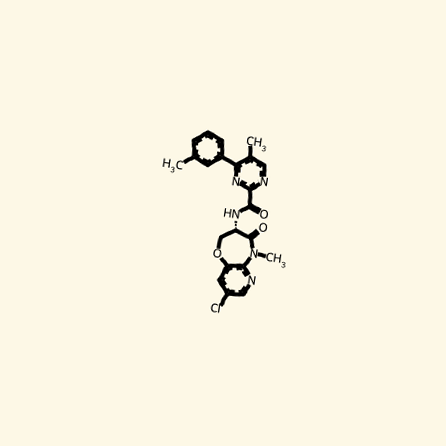 Cc1cccc(-c2nc(C(=O)N[C@H]3COc4cc(Cl)cnc4N(C)C3=O)ncc2C)c1